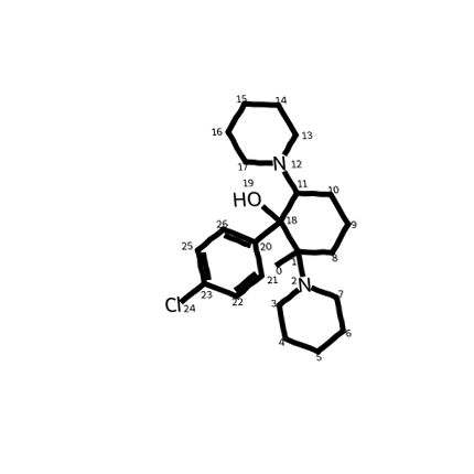 CC1(N2CCCCC2)CCCC(N2CCCCC2)C1(O)c1ccc(Cl)cc1